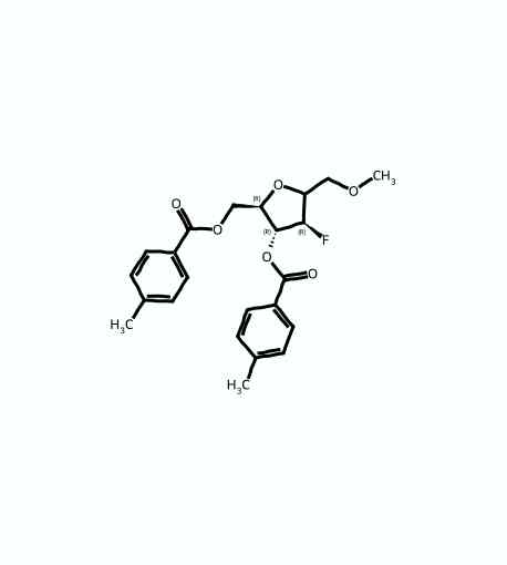 COCC1O[C@H](COC(=O)c2ccc(C)cc2)[C@@H](OC(=O)c2ccc(C)cc2)[C@@H]1F